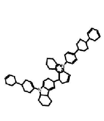 C1=CCC(C2CCC(C3=CCC(n4c5c(c6c4CCCC6)C(C4C=C6C(=CC4)N(C4=CCC(C7CC=CCC7)CC4)C4CCCCC64)CC=C5)C=C3)CC2)C=C1